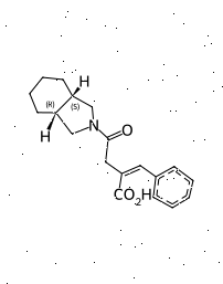 O=C(O)C(=Cc1ccccc1)CC(=O)N1C[C@H]2CCCC[C@H]2C1